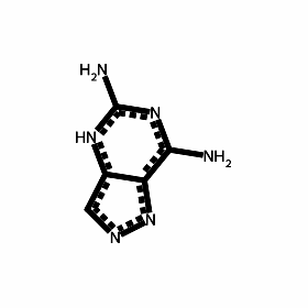 Nc1nc(N)c2nncc-2[nH]1